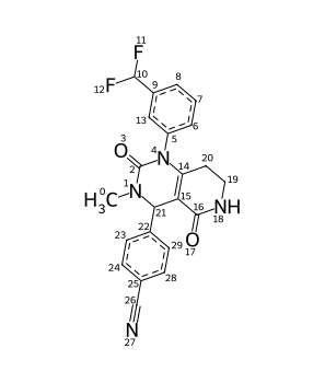 CN1C(=O)N(c2cccc(C(F)F)c2)C2=C(C(=O)NCC2)C1c1ccc(C#N)cc1